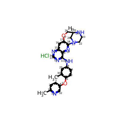 Cc1ccc(Oc2ccc(Nc3ncnc4cc5c(nc34)N3CCN[C@H](CO5)C3)cc2C)cn1.Cl